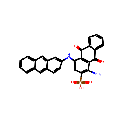 Nc1c(S(=O)(=O)O)cc(Nc2ccc3cc4ccccc4cc3c2)c2c1C(=O)c1ccccc1C2=O